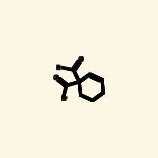 O=C(Br)C1(C(=O)Br)C=CCCC1